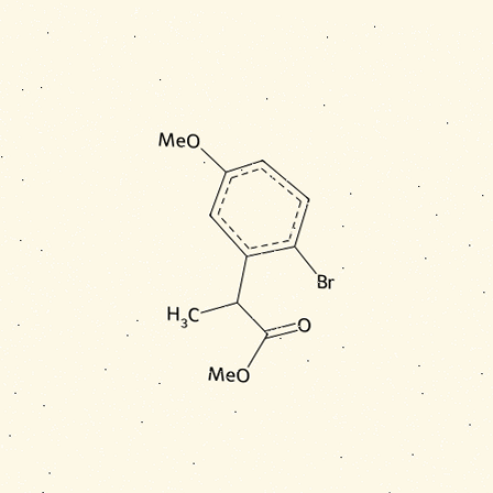 COC(=O)C(C)c1cc(OC)ccc1Br